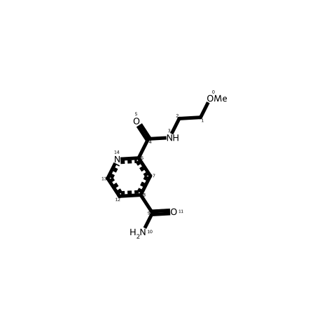 COCCNC(=O)c1cc(C(N)=O)ccn1